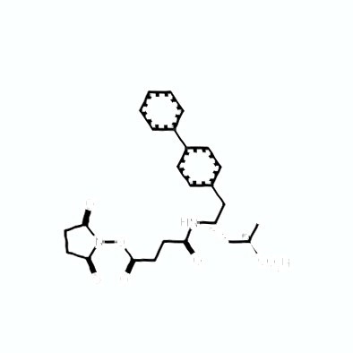 C[C@H](C[C@@H](Cc1ccc(-c2ccccc2)cc1)NC(=O)CCC(=O)ON1C(=O)CCC1=O)C(=O)O